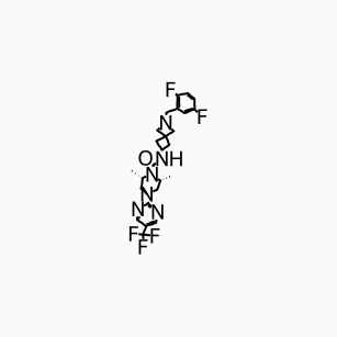 C[C@@H]1CN(c2ncc(C(F)(F)F)cn2)C[C@H](C)N1C(=O)NC1CC2(C1)CN(Cc1cc(F)ccc1F)C2